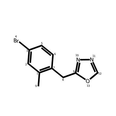 Cc1cc(Br)ccc1Cc1nnco1